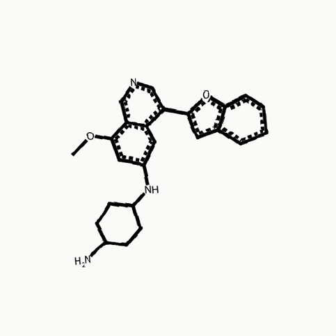 COc1cc(NC2CCC(N)CC2)cc2c(-c3cc4ccccc4o3)cncc12